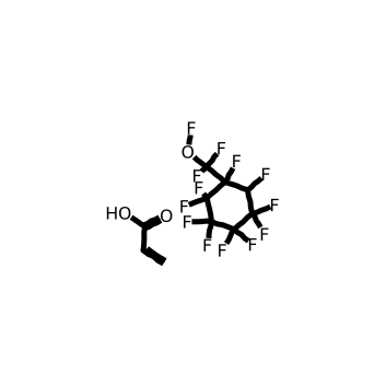 C=CC(=O)O.FOC(F)(F)C1(F)C(F)C(F)(F)C(F)(F)C(F)(F)C1(F)F